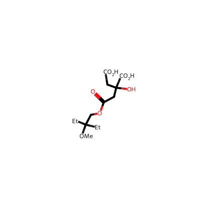 CCC(CC)(COC(=O)CC(O)(CC(=O)O)C(=O)O)OC